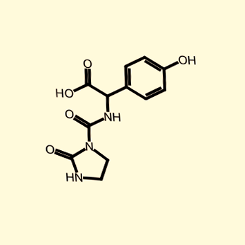 O=C(O)C(NC(=O)N1CCNC1=O)c1ccc(O)cc1